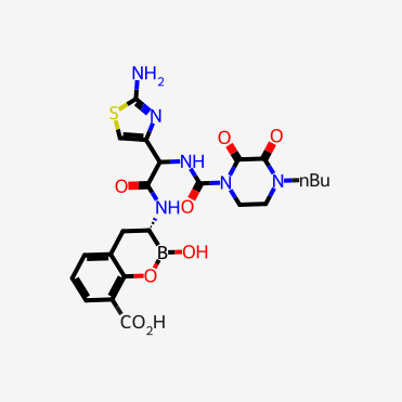 CCCCN1CCN(C(=O)NC(C(=O)N[C@H]2Cc3cccc(C(=O)O)c3OB2O)c2csc(N)n2)C(=O)C1=O